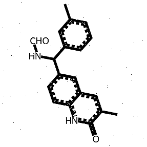 Cc1cccc(C(NC=O)c2ccc3[nH]c(=O)c(C)cc3c2)c1